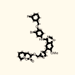 COc1cc2ncnc(Nc3ccc(OCc4cccc(F)c4)c(Br)c3)c2cc1-c1csc(COC(Cc2ccccn2)=S(=O)=O)n1